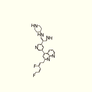 N=C/C(=C\NC1CCNCC1)c1cncc(-c2cc(C/C=C(F)\C=C/CF)nc3ncccc23)c1